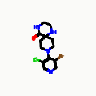 O=C1NCCNC12CCN(c1c(Cl)cncc1Br)CC2